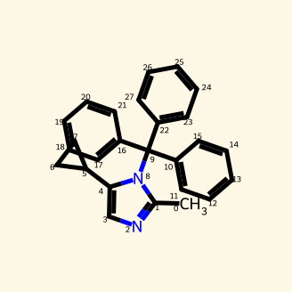 Cc1ncc(C2CC2)n1C(c1ccccc1)(c1ccccc1)c1ccccc1